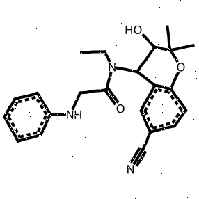 CCN(C(=O)CNc1ccccc1)C1c2cc(C#N)ccc2OC(C)(C)C1O